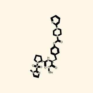 Cn1ccnc1S(=O)(=O)N1CCC[C@H]1C(=O)N[C@@H](Cc1ccc(OC(=O)N2CCN(c3ccccn3)CC2)cc1)C(=O)OC(C)(C)C